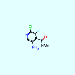 CNC(=O)c1c(N)cnc(Cl)c1F